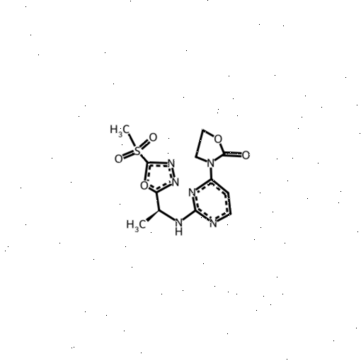 C[C@H](Nc1nccc(N2CCOC2=O)n1)c1nnc(S(C)(=O)=O)o1